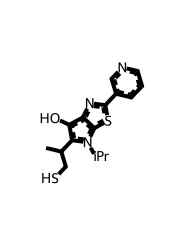 CC(CS)c1c(O)c2nc(-c3cccnc3)sc2n1C(C)C